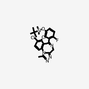 Cc1nnc2n1-c1ccc(Cl)c(Cl)c1C(c1cc(O[Si](C)(C)C(C)(C)C)ccc1F)=NC2